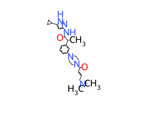 CC(C(=O)Nc1cc(C2CC2)[nH]n1)c1cccc(N2CCN(C(=O)C=CCN(C)C)CC2)c1